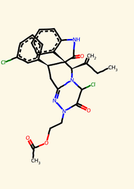 C=C(CC)[C@H]1N2C(=NN(CCOC(C)=O)C(=O)C2Cl)C[C@@H](c2cccc(Cl)c2)[C@]12C(=O)Nc1ccccc12